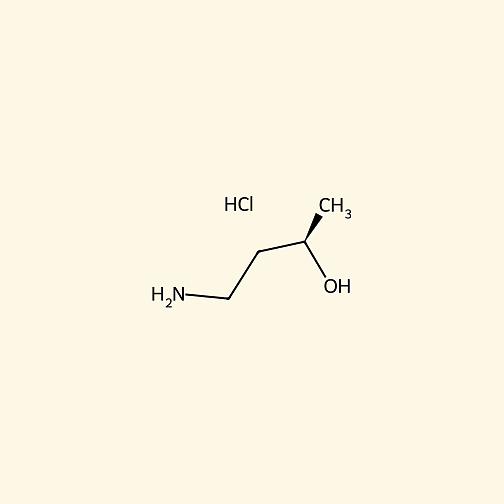 C[C@@H](O)CCN.Cl